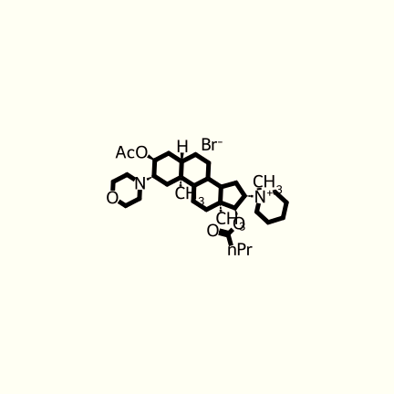 CCCC(=O)O[C@H]1[C@@H]([N+]2(C)CCCCC2)CC2C3CC[C@H]4C[C@H](OC(C)=O)[C@@H](N5CCOCC5)C[C@]4(C)C3CC[C@@]21C.[Br-]